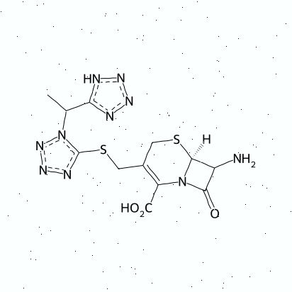 CC(c1nnn[nH]1)n1nnnc1SCC1=C(C(=O)O)N2C(=O)C(N)[C@@H]2SC1